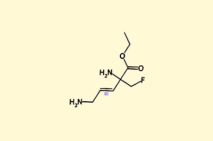 CCOC(=O)C(N)(/C=C/CN)CF